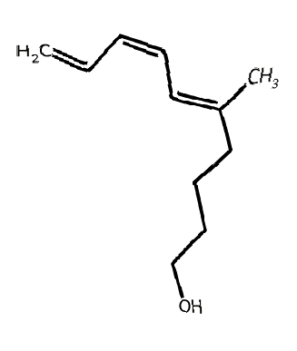 C=C/C=C\C=C(/C)CCCCO